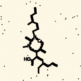 C=C/C=C(C)\C=C/Cn1ccc(=C)c(/C(=C/C(=C\C=C)CC)C(=C)O)cn(C)c1=C